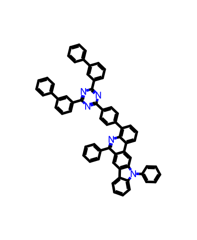 c1ccc(-c2cccc(-c3nc(-c4ccc(-c5cccc6c5nc(-c5ccccc5)c5cc7c8ccccc8n(-c8ccccc8)c7cc56)cc4)nc(-c4cccc(-c5ccccc5)c4)n3)c2)cc1